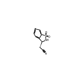 N#C[C][C]1NS(=O)(=O)c2ccccc21